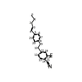 CCC/C=C/c1ccc(CCc2ccc(C#N)c(F)c2)cc1